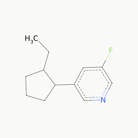 CCC1CCCC1c1cncc(F)c1